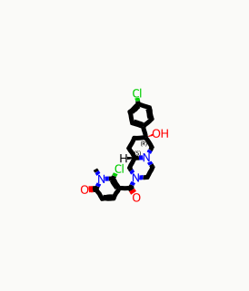 Cn1c(Cl)c(C(=O)N2CCN3C[C@](O)(c4ccc(Cl)cc4)CC[C@H]3C2)ccc1=O